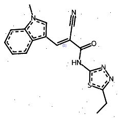 CCc1nnc(NC(=O)/C(C#N)=C/c2cn(C)c3ccccc23)s1